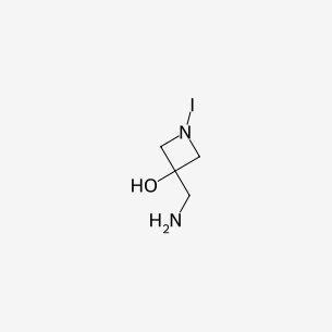 NCC1(O)CN(I)C1